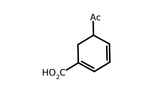 CC(=O)C1C=CC=C(C(=O)O)C1